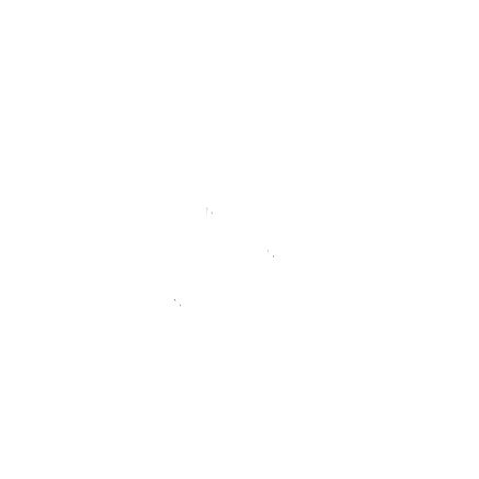 CCN1C2CC=CC=C2N=C2CNCCC21